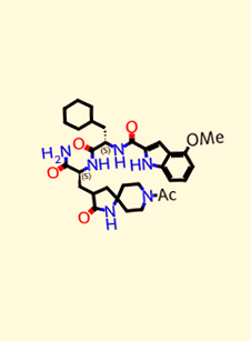 COc1cccc2[nH]c(C(=O)N[C@@H](CC3CCCCC3)C(=O)N[C@@H](CC3CC4(CCN(C(C)=O)CC4)NC3=O)C(N)=O)cc12